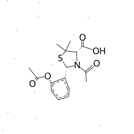 CC(=O)Oc1ccccc1[C@@H]1SC(C)(C)[C@H](C(=O)O)N1C(C)=O